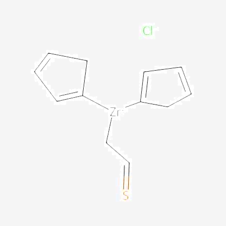 S=C[CH2][Zr+]([C]1=CC=CC1)[C]1=CC=CC1.[Cl-]